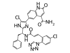 NC(=O)c1cc(=O)[nH]c2ccc(-c3nc([C@H](Cc4ccccc4)NC(=O)/C=C/c4cc(Cl)ccc4-n4cnnn4)[nH]c3Cl)cc12